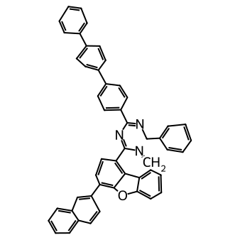 C=N/C(=N\C(=N/Cc1ccccc1)c1ccc(-c2ccc(-c3ccccc3)cc2)cc1)c1ccc(-c2ccc3ccccc3c2)c2oc3ccccc3c12